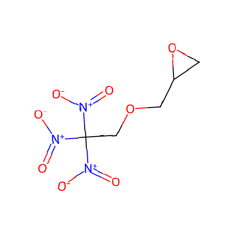 O=[N+]([O-])C(COCC1CO1)([N+](=O)[O-])[N+](=O)[O-]